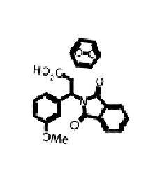 COc1cccc(C(CC(=O)O)N2C(=O)c3ccccc3C2=O)c1.c1cc2ccc1CO2